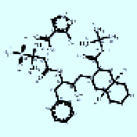 Cc1nocc1C(=O)N[C@H](C(=O)NC(Cc1ccccc1)C(O)CN1C[C@H]2CCCC[C@H]2CC1C(=O)NC(C)(C)C)C(C)(C)S(C)(=O)=O